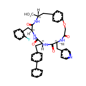 O=C1COc2ccc(cc2)C[C@@H](C(=O)O)NC(=O)[C@H](Cc2ccccc2F)NC(=O)[C@@H](Cc2ccc(-c3ccccc3)cc2)NC(=O)[C@H](Cc2ccncc2)N1